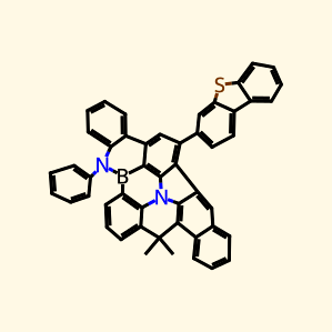 CC1(C)c2cccc3c2-n2c4c1c1ccccc1cc4c1c(-c4ccc5c(c4)sc4ccccc45)cc4c(c12)B3N(c1ccccc1)c1ccccc1-4